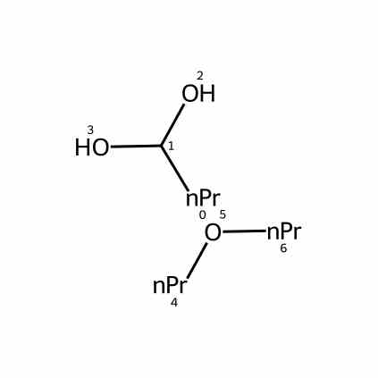 CCCC(O)O.CCCOCCC